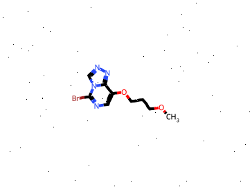 COCCCOc1cnc(Br)n2cnnc12